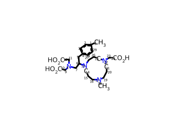 Cc1ccc(CC(CN(CC(=O)O)CC(=O)O)N2CCCN(C)CCCN(CC(=O)O)CCC2)cc1